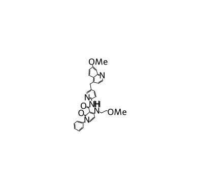 COCCNc1ccn(-c2ccccc2)c(=O)c1C(=O)Nc1ccc(Cc2ccnc3cc(OC)ccc23)cn1